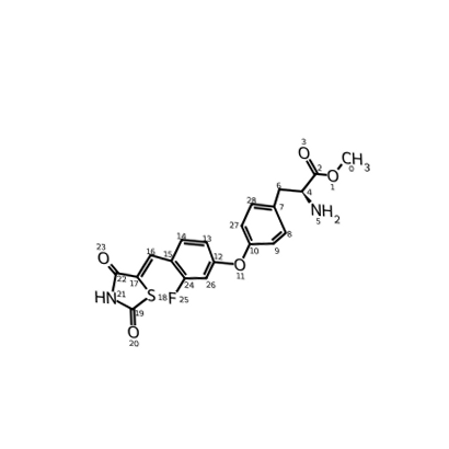 COC(=O)[C@@H](N)Cc1ccc(Oc2ccc(/C=C3\SC(=O)NC3=O)c(F)c2)cc1